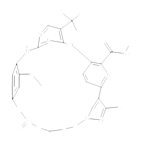 CNC(=O)c1nc2ccc1Nc1nc(ncc1C(F)(F)F)Nc1ccc(cc1OC)C[PH](=O)OCCCn1cc-2c(Cl)n1